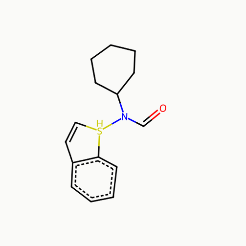 O=CN(C1CCCCC1)[SH]1C=Cc2ccccc21